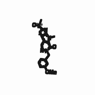 COc1cccc(Cn2ncc3c4sc([S+](C)[O-])nc4n(C)c3c2=O)c1